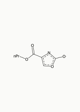 CCCOC(=O)c1coc([O])n1